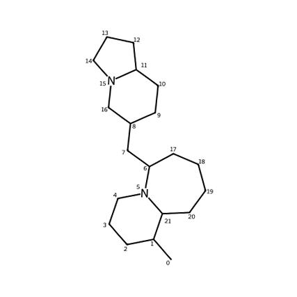 CC1CCCN2C(CC3CCC4CCCN4C3)CCCCC12